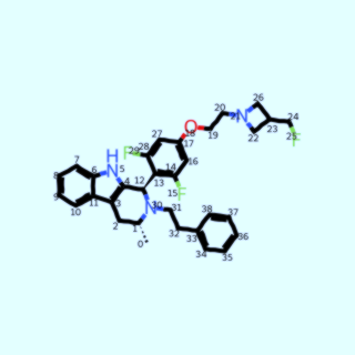 C[C@@H]1Cc2c([nH]c3ccccc23)[C@@H](c2c(F)cc(OCCN3CC(CF)C3)cc2F)N1CCc1ccccc1